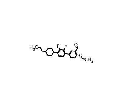 CCCC1CCC(c2ccc(-c3ccc(OCC)c(C=O)c3)c(F)c2F)CC1